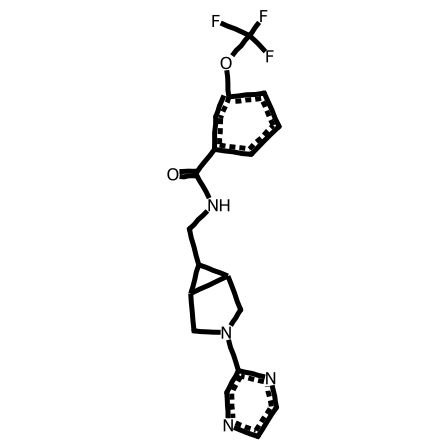 O=C(NCC1C2CN(c3cnccn3)CC12)c1cccc(OC(F)(F)F)c1